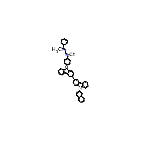 CC/C(=C\C=C(/C)c1ccccc1)c1ccc(-n2c3ccccc3c3cc(-c4ccc5c(c4)c4ccccc4n5-c4ccc5ccccc5c4)ccc32)cc1